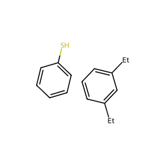 CCc1cccc(CC)c1.Sc1ccccc1